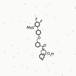 CSc1cc(F)c(F)cc1-c1ccc(OCc2cccc(C(=O)N(CC(=O)O)Cc3ccncn3)c2)cc1